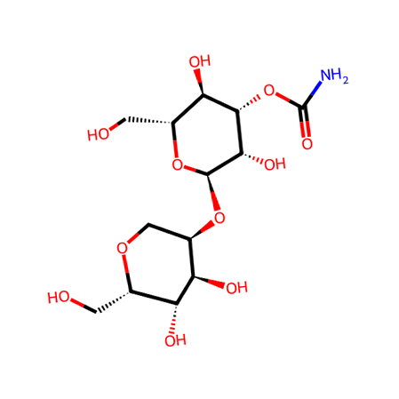 NC(=O)O[C@@H]1[C@H](O)[C@@H](O[C@@H]2CO[C@@H](CO)[C@@H](O)[C@@H]2O)O[C@H](CO)[C@H]1O